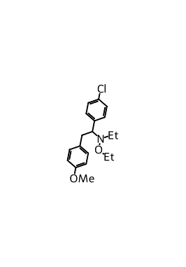 CCON(CC)C(Cc1ccc(OC)cc1)c1ccc(Cl)cc1